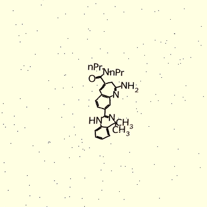 CCCN(CCC)C(=O)C1=Cc2ccc(C3=NC(C)(C)c4ccccc4N3)cc2N=C(N)C1